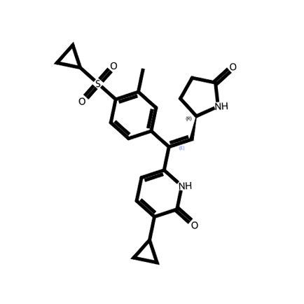 Cc1cc(/C(=C\[C@H]2CCC(=O)N2)c2ccc(C3CC3)c(=O)[nH]2)ccc1S(=O)(=O)C1CC1